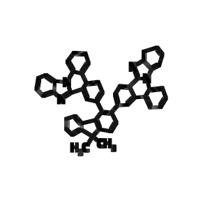 CC1(C)c2ccccc2-c2c1ccc(-c1ccc3c(c1)c1ccccc1n1c4ccccc4nc31)c2-c1ccc2c3ccccc3n3c4ccccc4nc3c2c1